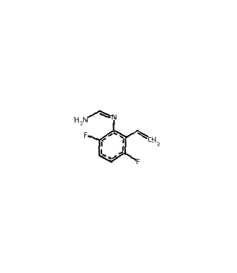 C=Cc1c(F)ccc(F)c1/N=C\N